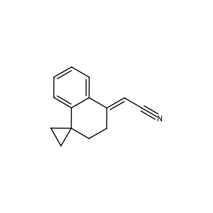 N#CC=C1CCC2(CC2)c2ccccc21